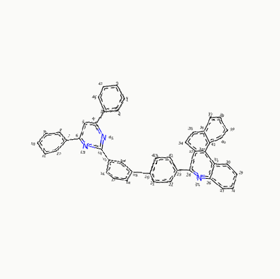 c1ccc(-c2cc(-c3ccccc3)nc(-c3cccc(-c4ccc(-c5nc6ccccc6c6c5ccc5ccccc56)cc4)c3)n2)cc1